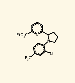 CCOC(=O)c1cccc(C2CCCN2c2ccc(C(F)(F)F)cc2Cl)n1